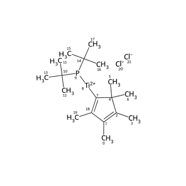 CC1=C(C)C(C)(C)[C]([Ti+2][P](C(C)(C)C)C(C)(C)C)=C1C.[Cl-].[Cl-]